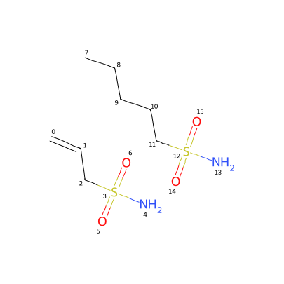 C=CCS(N)(=O)=O.CCCCCS(N)(=O)=O